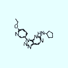 CCOc1ccc(-n2nnc3cnc(NC4CCCC4)nc32)cn1